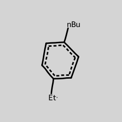 C[CH]c1ccc(CCCC)cc1